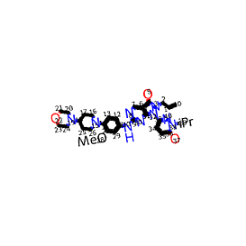 C=CCn1c(=O)c2cnc(Nc3ccc(N4CCC(N5CCOCC5)CC4)c(OC)c3)nc2n1-c1ccc(=O)n(C(C)C)n1